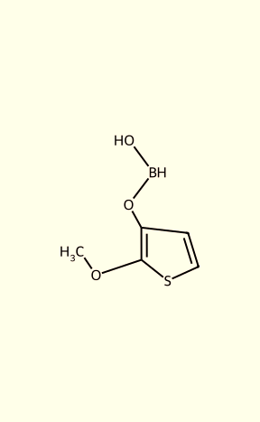 COc1sccc1OBO